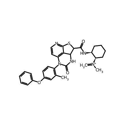 C=[N+](C)[C@@H]1CCCC[C@@H]1NC(=O)C1Sc2nccc3c2C1NC(=O)N3c1ccc(Oc2ccccc2)cc1C